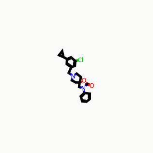 O=C1OC2(CCN(Cc3cc(Cl)cc(C4CC4)c3)CC2)CN1c1ccccc1